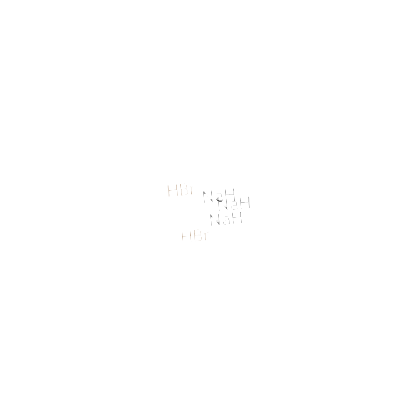 Br.Br.[NaH].[NaH].[NaH]